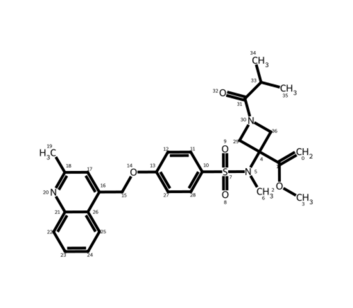 C=C(OC)C1(N(C)S(=O)(=O)c2ccc(OCc3cc(C)nc4ccccc34)cc2)CN(C(=O)C(C)C)C1